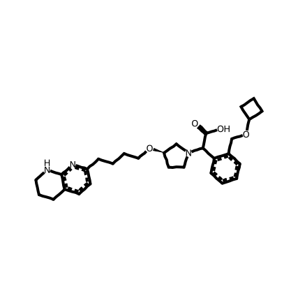 O=C(O)C(c1ccccc1COC1CCC1)N1CC[C@@H](OCCCCc2ccc3c(n2)NCCC3)C1